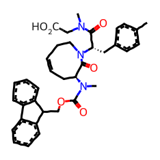 Cc1ccc(C[C@@H](C(=O)N(C)CC(=O)O)N2CCC=CC[C@H](N(C)C(=O)OCC3c4ccccc4-c4ccccc43)C2=O)cc1